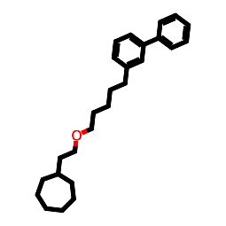 c1ccc(-c2cccc(CCCCCOCCC3CCCCCC3)c2)cc1